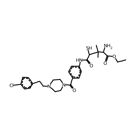 CCOC(=O)C(N)C(C)(C)C(S)C(=O)Nc1ccc(C(=O)N2CCN(CCc3ccc(Cl)cc3)CC2)cc1